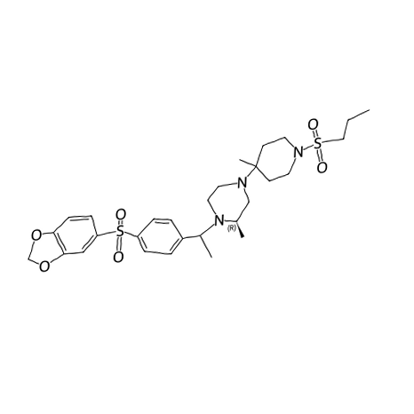 CCCS(=O)(=O)N1CCC(C)(N2CCN(C(C)c3ccc(S(=O)(=O)c4ccc5c(c4)OCO5)cc3)[C@H](C)C2)CC1